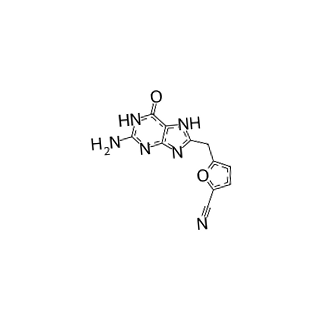 N#Cc1ccc(Cc2nc3nc(N)[nH]c(=O)c3[nH]2)o1